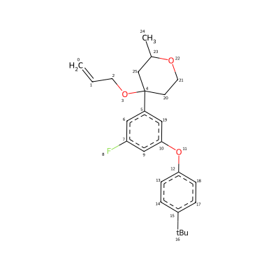 C=CCOC1(c2cc(F)cc(Oc3ccc(C(C)(C)C)cc3)c2)CCOC(C)C1